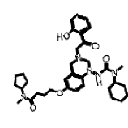 CN(C(=O)CCCOc1ccc2c(c1)CN(CC(=O)c1ccccc1O)CN2NC(=O)N(C)C1CCCCC1)C1CCCC1